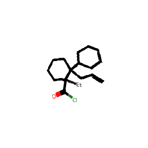 C=CCC1(C2CCCCC2)CCCCC1(CC)C(=O)Cl